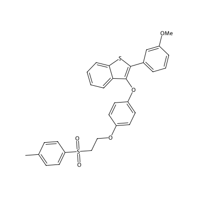 COc1cccc(-c2sc3ccccc3c2Oc2ccc(OCCS(=O)(=O)c3ccc(C)cc3)cc2)c1